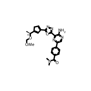 COCO[C@@H](C)C1=CC(c2nnc(-c3nc(-c4ccc(C(=O)N(C)C)cc4)cnc3N)o2)=CC1